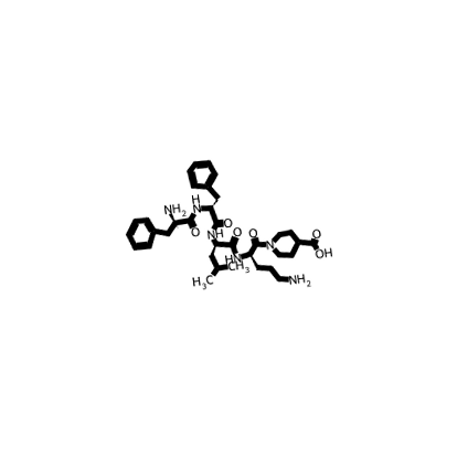 CC(C)C[C@@H](NC(=O)[C@@H](Cc1ccccc1)NC(=O)[C@H](N)Cc1ccccc1)C(=O)N[C@H](CCCN)C(=O)N1CCC(C(=O)O)CC1